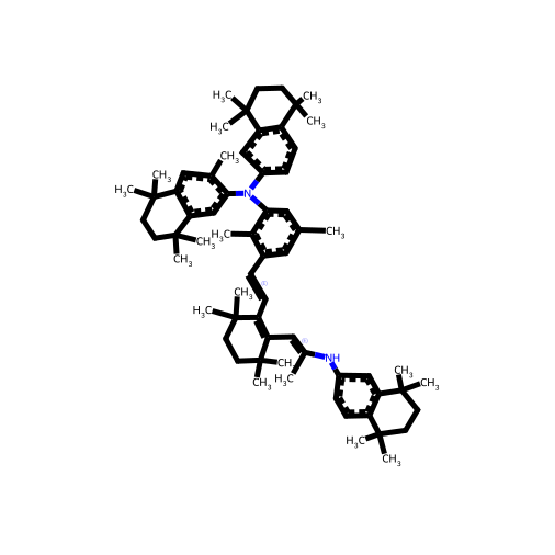 C/C(=C\C1=C(/C=C/c2cc(C)cc(N(c3ccc4c(c3)C(C)(C)CCC4(C)C)c3cc4c(cc3C)C(C)(C)CCC4(C)C)c2C)C(C)(C)CCC1(C)C)Nc1ccc2c(c1)C(C)(C)CCC2(C)C